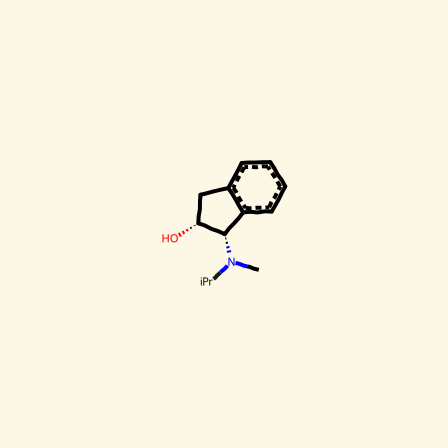 CC(C)N(C)[C@H]1c2ccccc2C[C@H]1O